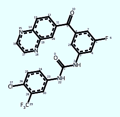 O=C(Nc1cc(F)cc(C(=O)c2ccc3nccnc3c2)c1)Nc1ccc(Cl)c(C(F)(F)F)c1